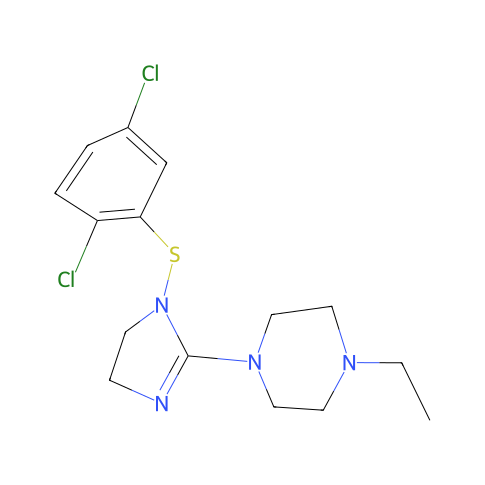 CCN1CCN(C2=NCCN2Sc2cc(Cl)ccc2Cl)CC1